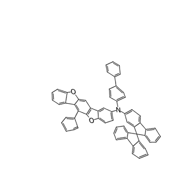 c1ccc(-c2ccc(N(c3ccc4c(c3)C3(c5ccccc5-c5ccccc53)c3ccccc3-4)c3ccc4oc5c(-c6ccccc6)c6c(cc5c4c3)oc3ccccc36)cc2)cc1